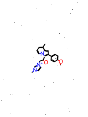 COc1ccc(-c2cc3c(C)cccn3c2C(=O)C[n+]2ccn(C)c2)cc1